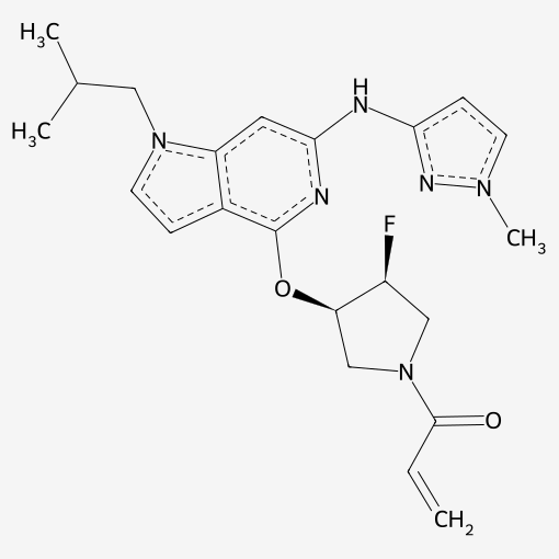 C=CC(=O)N1C[C@H](F)[C@H](Oc2nc(Nc3ccn(C)n3)cc3c2ccn3CC(C)C)C1